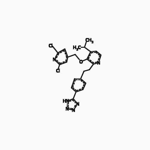 CC(C)c1ccnc(CCc2ccc(-c3nnn[nH]3)cc2)c1OCc1cc(Cl)nc(Cl)c1